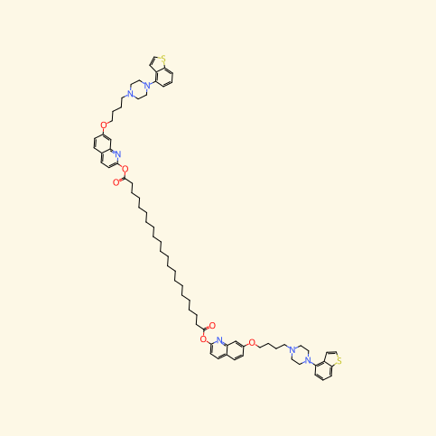 O=C(CCCCCCCCCCCCCCCCCCCCC(=O)Oc1ccc2ccc(OCCCCN3CCN(c4cccc5sccc45)CC3)cc2n1)Oc1ccc2ccc(OCCCCN3CCN(c4cccc5sccc45)CC3)cc2n1